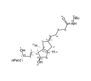 CCCCC[C@H](O)/C=C/[C@@H]1[C@H]2C/C(=C/CCCC(=O)NCCCC)C[C@H]2C[C@H]1O